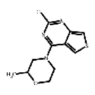 CC1CN(c2nc(Cl)nc3cscc23)CCO1